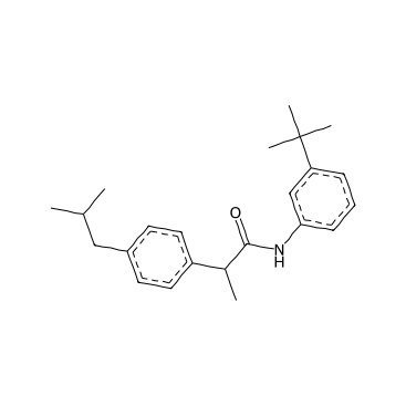 CC(C)Cc1ccc(C(C)C(=O)Nc2cccc(C(C)(C)C)c2)cc1